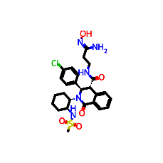 CS(=O)(=O)N[C@H]1CCCC[C@@H]1N1C(=O)c2ccccc2[C@@H](C(=O)NCC/C(N)=N/O)[C@@H]1c1ccc(Cl)cc1